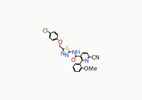 COc1ccccc1-c1nc(C#N)ccc1C(=O)Nc1nnc(COc2ccc(Cl)cc2)s1